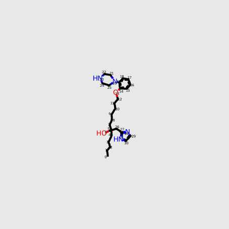 CCCCCC(O)(CCCCCCOc1ccccc1N1CCNCC1)Cc1ncc[nH]1